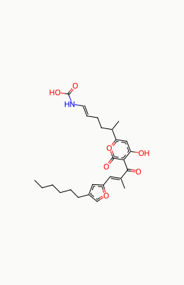 CCCCCCc1coc(C=C(C)C(=O)c2c(O)cc(C(C)CCC=CNC(=O)O)oc2=O)c1